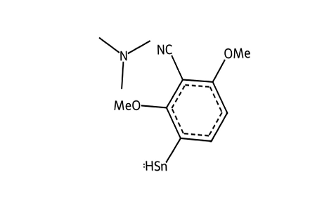 CN(C)C.COc1cc[c]([SnH])c(OC)c1C#N